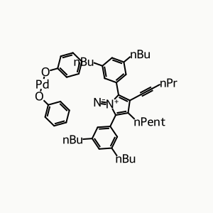 CCCC#CC1=C(c2cc(CCCC)cc(CCCC)c2)[N+](=[N-])C(c2cc(CCCC)cc(CCCC)c2)=C1CCCCC.c1ccc([O][Pd][O]c2ccccc2)cc1